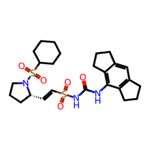 O=C(Nc1c2c(cc3c1CCC3)CCC2)NS(=O)(=O)/C=C/[C@@H]1CCCN1S(=O)(=O)C1CCCCC1